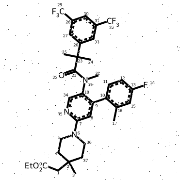 CCOC(=O)CC1(C)CCN(c2cc(-c3ccc(F)cc3C)c(N(C)C(=O)C(C)(C)c3cc(C(F)(F)F)cc(C(F)(F)F)c3)cn2)CC1